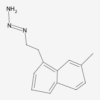 Cc1ccc2cccc(CCN=NN)c2c1